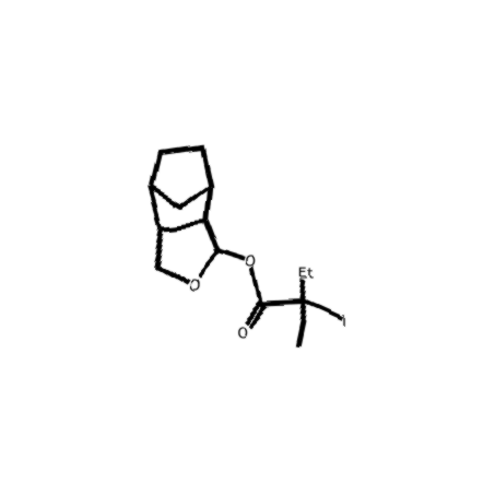 CCC(C)(I)C(=O)OC1OCC2C3CCC(C3)C12